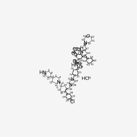 C[C@@]1(CN2CCC(C3CCNCC3)CC2)CCC(c2ccc(Cl)cc2)=C(CN2CCN(c3ccc(C(=O)NS(=O)(=O)c4ccc(N[C@H](CCN5CCCOCC5)CSc5ccccc5)c(S(=O)(=O)C(F)(F)F)c4)cc3)CC2)C1.Cl